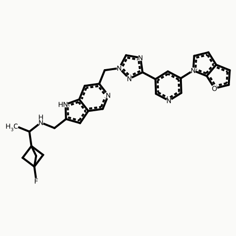 CC(NCc1cc2cnc(Cn3cnc(-c4cncc(-n5ccc6ccoc65)c4)n3)cc2[nH]1)C12CC(F)(C1)C2